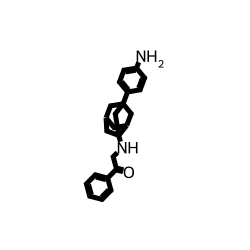 Nc1ccc(C23CC4CC(C2)C(NCC(=O)c2ccccc2)(C4)C3)cc1